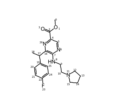 COC(=O)c1cnc(NCCN2CCCC2)c(C(C)c2ccc(F)cc2)n1